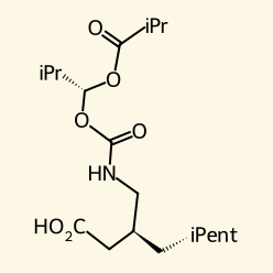 CCC[C@@H](C)C[C@H](CNC(=O)O[C@@H](OC(=O)C(C)C)C(C)C)CC(=O)O